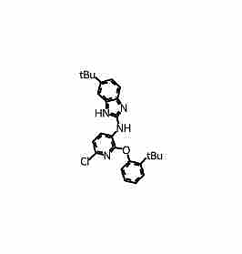 CC(C)(C)c1ccc2nc(Nc3ccc(Cl)nc3Oc3ccccc3C(C)(C)C)[nH]c2c1